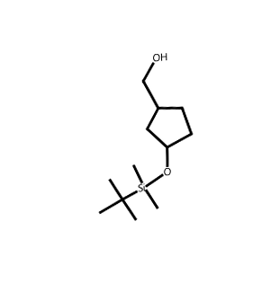 CC(C)(C)[Si](C)(C)OC1CCC(CO)C1